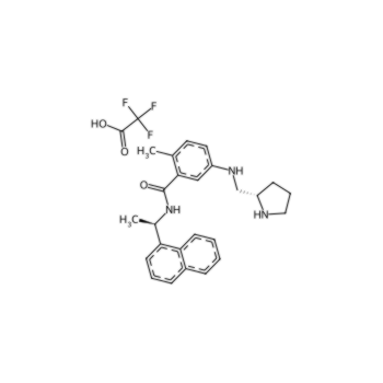 Cc1ccc(NC[C@@H]2CCCN2)cc1C(=O)N[C@H](C)c1cccc2ccccc12.O=C(O)C(F)(F)F